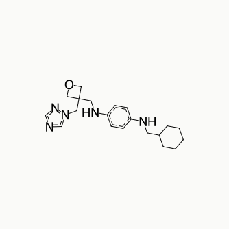 c1ncn(CC2(CNc3ccc(NCC4CCCCC4)cc3)COC2)n1